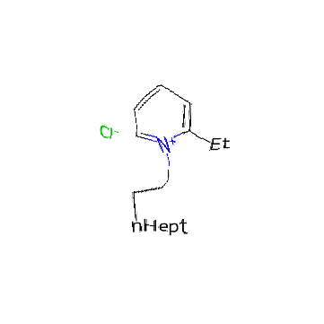 CCCCCCCCC[n+]1ccccc1CC.[Cl-]